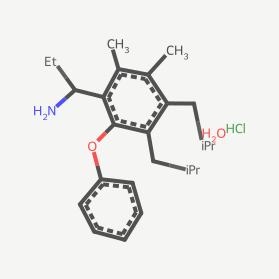 CCC(N)c1c(C)c(C)c(CC(C)C)c(CC(C)C)c1Oc1ccccc1.Cl.O